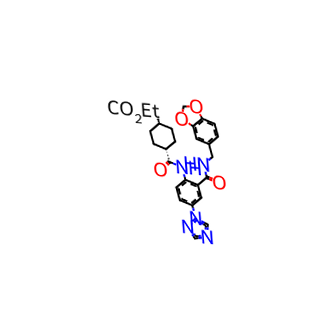 CCOC(=O)[C@H]1CC[C@H](C(=O)Nc2ccc(-n3cncn3)cc2C(=O)NCc2ccc3c(c2)OCO3)CC1